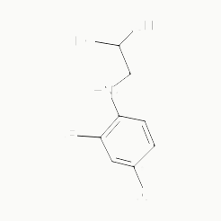 CC(C)CNc1ccc(Cl)cc1F